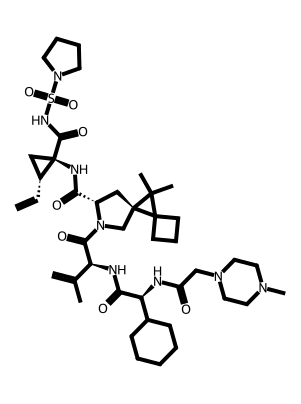 C=C[C@@H]1C[C@]1(NC(=O)[C@@H]1C[C@@]2(CN1C(=O)[C@@H](NC(=O)[C@@H](NC(=O)CN1CCN(C)CC1)C1CCCCC1)C(=C)C)C(C)(C)C21CCC1)C(=O)NS(=O)(=O)N1CCCC1